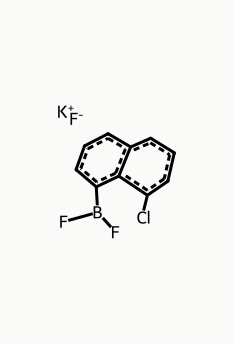 FB(F)c1cccc2cccc(Cl)c12.[F-].[K+]